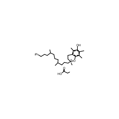 CCC(=O)O.Cc1c(C)c2c(c(C)c1O)CC[C@@](C)(CCCC(C)CCCC(C)CCCC(C)C)O2